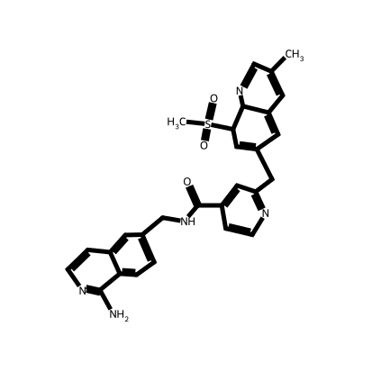 CC1=CC2=CC(Cc3cc(C(=O)NCc4ccc5c(N)nccc5c4)ccn3)=CC(S(C)(=O)=O)C2N=C1